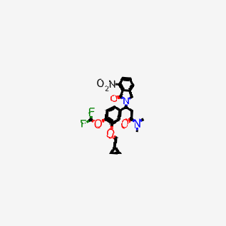 CN(C)C(=O)CC(c1ccc(OC(F)F)c(OCC2CC2)c1)N1Cc2cccc([N+](=O)[O-])c2C1=O